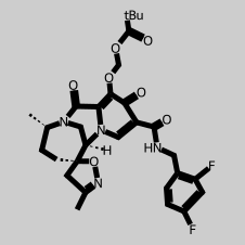 CC1=NO[C@@]2(CC[C@H](C)N3C[C@H]2n2cc(C(=O)NCc4ccc(F)cc4F)c(=O)c(OCOC(=O)C(C)(C)C)c2C3=O)C1